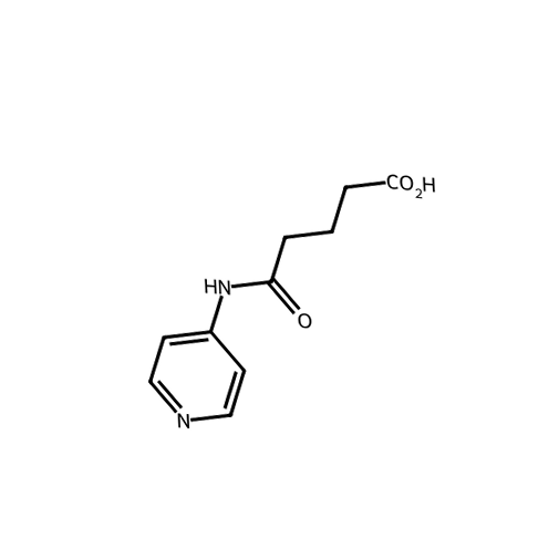 O=C(O)CCCC(=O)Nc1ccncc1